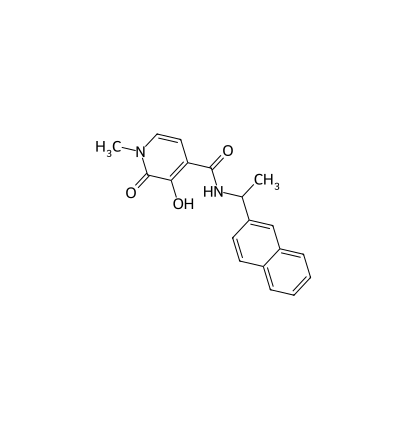 CC(NC(=O)c1ccn(C)c(=O)c1O)c1ccc2ccccc2c1